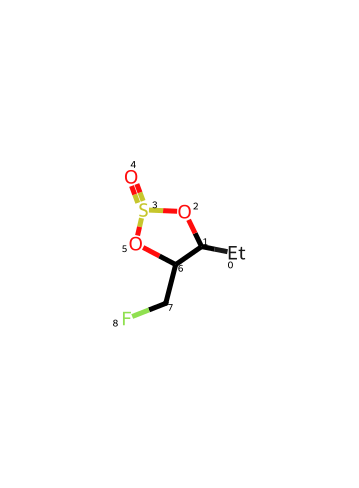 CCC1OS(=O)OC1CF